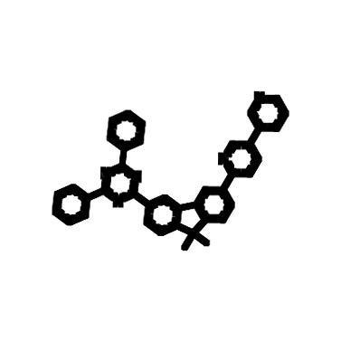 CC1(C)c2ccc(-c3ccc(-c4cccnc4)cn3)cc2-c2cc(-c3nc(-c4ccccc4)nc(-c4ccccc4)n3)ccc21